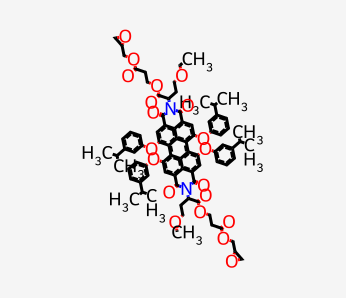 CCOCCC(C(=O)OCCC(=O)OCC1CO1)N1C(=O)c2cc(Oc3cccc(C(C)C)c3)c3c4c(Oc5cccc(C(C)C)c5)cc5c6c(cc(Oc7cccc(C(C)C)c7)c(c7c(Oc8cccc(C(C)C)c8)cc(c2c37)C1=O)c64)C(=O)N(C(CCOC)C(=O)OCCC(=O)OCC1CO1)C5=O